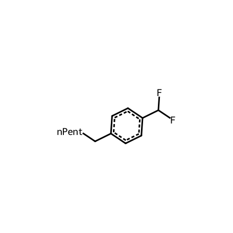 CCCCCCc1ccc(C(F)F)cc1